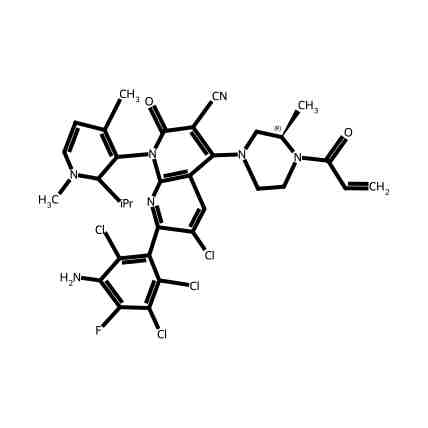 C=CC(=O)N1CCN(c2c(C#N)c(=O)n(C3=C(C)C=CN(C)C3C(C)C)c3nc(-c4c(Cl)c(N)c(F)c(Cl)c4Cl)c(Cl)cc23)C[C@H]1C